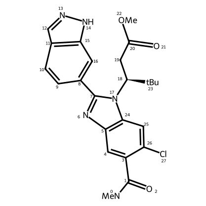 CNC(=O)c1cc2nc(-c3ccc4cn[nH]c4c3)n([C@@H](CC(=O)OC)C(C)(C)C)c2cc1Cl